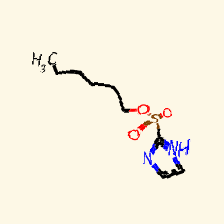 CCCCCCOS(=O)(=O)c1ncc[nH]1